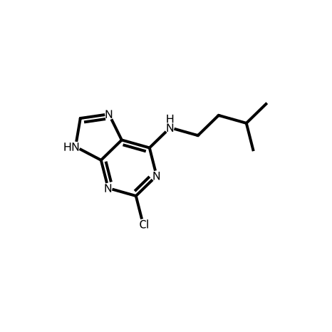 CC(C)CCNc1nc(Cl)nc2[nH]cnc12